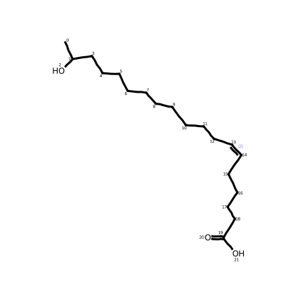 CC(O)CCCCCCCCCC/C=C\CCCCC(=O)O